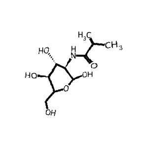 CC(C)C(=O)N[C@H]1C(O)OC(CO)[C@@H](O)[C@@H]1O